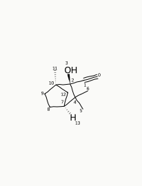 C#C[C@]1(O)C(C)(C)[C@H]2CC[C@]1(C)C2